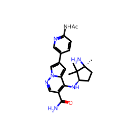 CC(=O)Nc1ccc(-c2cc3c(N[C@@H]4CC[C@](C)(N)C4(C)C)c(C(N)=O)cnn3c2)cn1